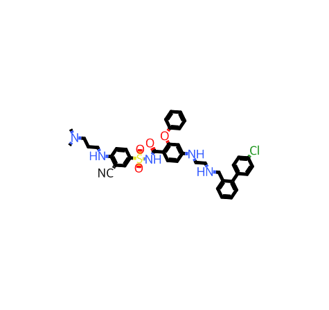 CN(C)CCCNc1ccc(S(=O)(=O)NC(=O)c2ccc(NCCNCc3ccccc3-c3ccc(Cl)cc3)cc2Oc2ccccc2)cc1C#N